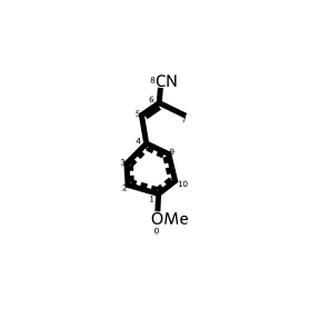 COc1ccc(C=C(C)C#N)cc1